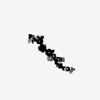 CCc1cc(-c2noc(-c3cc(C)nc(N(CC)CC)c3)n2)cc(C)c1OC[C@@H](O)CN1CC(C(=O)O)C1